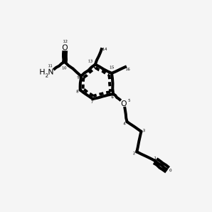 C#CCCCOc1ccc(C(N)=O)c(C)c1C